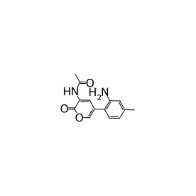 CC(=O)Nc1cc(-c2ccc(C)cc2N)coc1=O